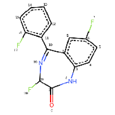 O=C1Nc2ccc(F)cc2C(c2ccccc2F)=NC1F